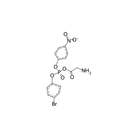 NCC(=O)OP(=O)(Oc1ccc(Br)cc1)Oc1ccc([N+](=O)[O-])cc1